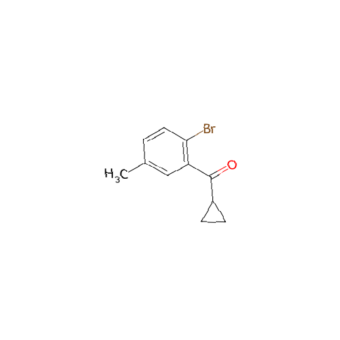 Cc1ccc(Br)c(C(=O)C2CC2)c1